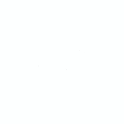 O=C(O)c1ccc(C2=NOC(c3cc(Cl)c(Cl)c(Cl)c3)(C(F)(F)F)C2)c2ccccc12